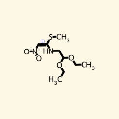 CCOC(CN/C(=C\[N+](=O)[O-])SC)OCC